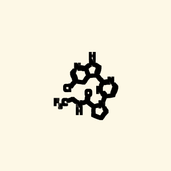 O=C(NCC(F)(F)F)C1CCCN1c1ccnc(C2=CNC3=NC=C(Cl)CC23)n1